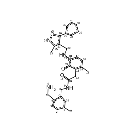 Cc1ccc(CN)c(CNC(=O)Cc2c(C)ccn(NCc3c(C)noc3-c3ccccc3)c2=O)c1